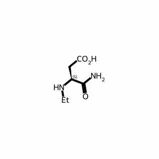 CCN[C@@H](CC(=O)O)C(N)=O